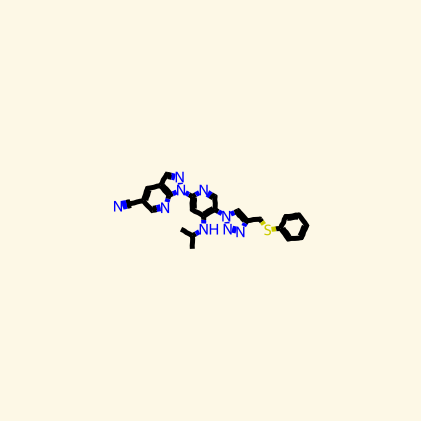 CC(C)Nc1cc(-n2ncc3cc(C#N)cnc32)ncc1-n1cc(CSc2ccccc2)nn1